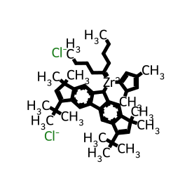 CCCC[C](CCCC)=[Zr+2]([C]1=CC(C)=CC1C)[CH]1c2cc3c(cc2-c2cc4c(cc21)C(C)(C)C=C4C(C)(C)C)C(C(C)(C)C)=CC3(C)C.[Cl-].[Cl-]